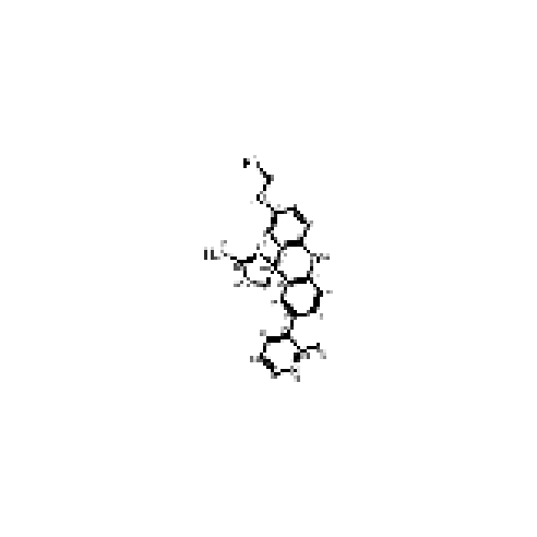 CC(C)(C)COc1ccc2c(c1)[C@]1(COC(N)=N1)c1cc(-c3cccnc3Cl)ccc1O2